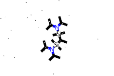 CC(C)N(C(C)C)[Si](C)(C)C(C)[Si](C)(C)N(C(C)C)C(C)C